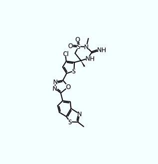 Cc1nc2cc(-c3nnc(-c4cc(Cl)c([C@]5(C)CS(=O)(=O)N(C)C(=N)N5)s4)o3)ccc2s1